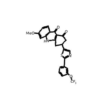 COc1ccc2c(=O)c3c([nH]c2c1)CC(c1cnc(-c2cccc(OC(F)(F)F)c2)s1)CC3=O